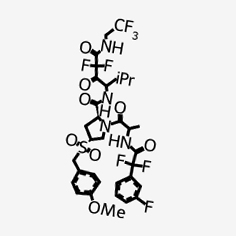 COc1ccc(CS(=O)(=O)[C@@H]2C[C@@H](C(=O)NC(C(=O)C(F)(F)C(=O)NCC(F)(F)F)C(C)C)N(C(=O)C(C)NC(=O)C(F)(F)c3cccc(F)c3)C2)cc1